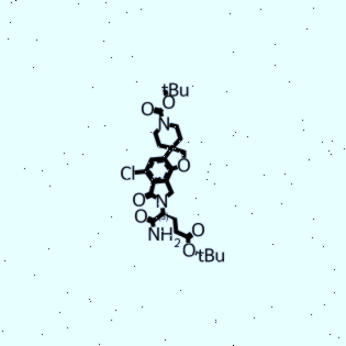 CC(C)(C)OC(=O)CC[C@@H](C(N)=O)N1Cc2c3c(cc(Cl)c2C1=O)C1(CCN(C(=O)OC(C)(C)C)CC1)CO3